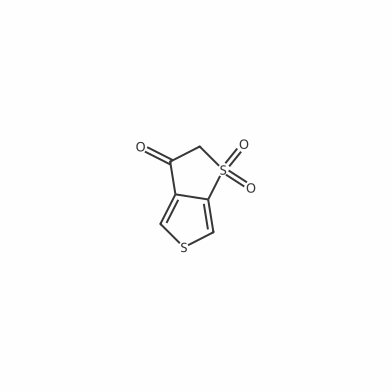 O=C1CS(=O)(=O)c2cscc21